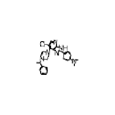 CC(c1ccccc1)N1CCN(c2c(Cl)cnc3[nH]c(-c4ccc(N(C)C)cc4)nc23)CC1